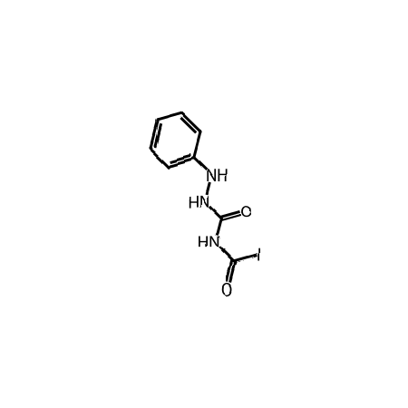 O=C(I)NC(=O)NNc1ccccc1